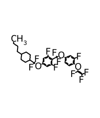 CCCCC1CCC(C(F)(F)Oc2cc(F)c(C(F)(F)Oc3ccc(OC(F)=C(F)F)c(F)c3)c(F)c2)CC1